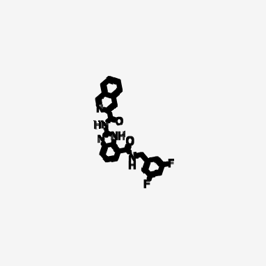 O=C(Nc1nc2cccc(C(=O)NCc3cc(F)cc(F)c3)c2[nH]1)c1cc2ccccc2cn1